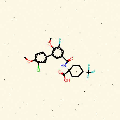 COc1ccc(-c2cc(C(=O)N[C@]3(C(=O)O)CC[C@H](C(F)(F)F)CC3)cc(F)c2OC)cc1Cl